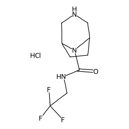 Cl.O=C(NCC(F)(F)F)N1C2CCC1CNC2